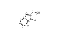 Cn1c(CS)nc2ccccc21